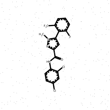 Cn1nc(C(=O)Nc2ccc(Cl)cc2Cl)cc1-c1c(F)cccc1C(F)(F)F